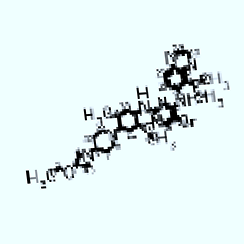 CCOC1CN(C2CCN(c3cc(OC)c(Nc4ncc(Br)c(Nc5ccc6nccnc6c5P(C)C)n4)cc3C)CC2)C1